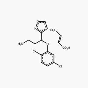 NCCC(Oc1cc(Cl)ccc1Cl)c1ccon1.O=C(O)C=CC(=O)O